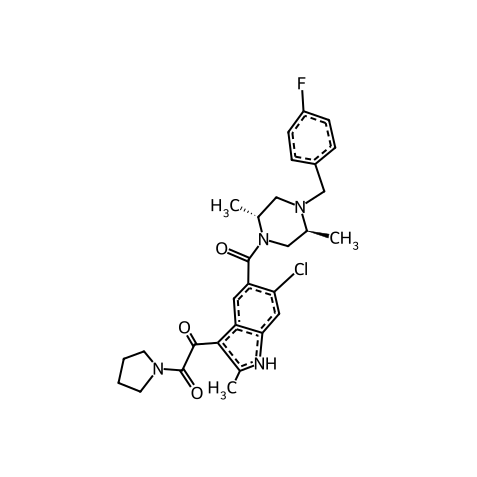 Cc1[nH]c2cc(Cl)c(C(=O)N3C[C@H](C)N(Cc4ccc(F)cc4)C[C@H]3C)cc2c1C(=O)C(=O)N1CCCC1